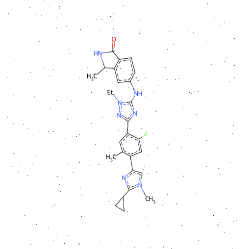 CCn1nc(-c2cc(C)c(-c3cn(C)c(C4CC4)n3)cc2F)nc1Nc1ccc2c(c1)C(C)NC2=O